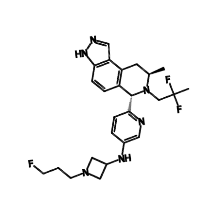 C[C@@H]1Cc2c(ccc3[nH]ncc23)[C@@H](c2ccc(NC3CN(CCCF)C3)cn2)N1CC(C)(F)F